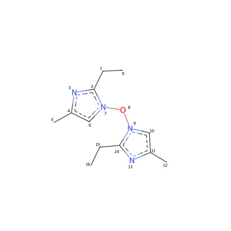 CCc1nc(C)cn1On1cc(C)nc1CC